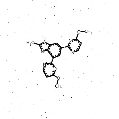 COc1ccnc(-c2cc(-c3nccc(OC)n3)c3nc(C)[nH]c3c2)n1